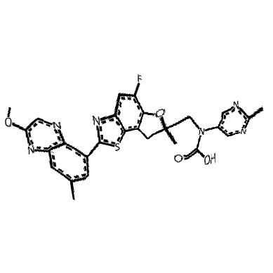 COc1cnc2c(-c3nc4cc(F)c5c(c4s3)CC(C)(CN(C(=O)O)c3cnc(C)nc3)O5)cc(C)cc2n1